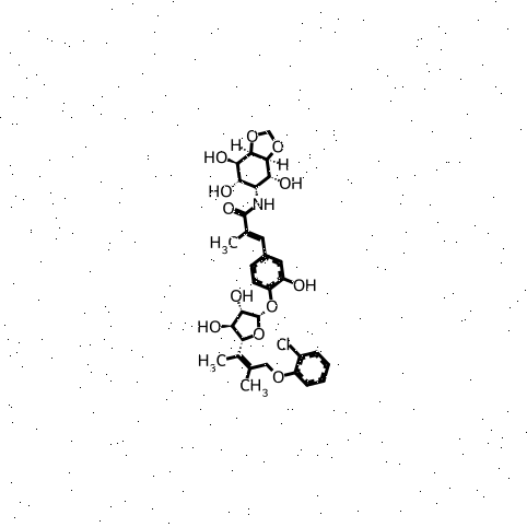 CC(=Cc1ccc(O[C@@H]2O[C@H](C(C)=C(C)COc3ccccc3Cl)[C@@H](O)[C@@H]2O)c(O)c1)C(=O)N[C@@H]1[C@H](O)[C@@H](O)[C@H]2OCO[C@H]2[C@@H]1O